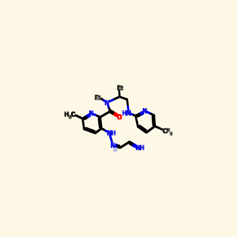 CCC(CNc1ccc(C(F)(F)F)cn1)N(CC)C(=O)c1nc(C)ccc1N/N=C\C=N